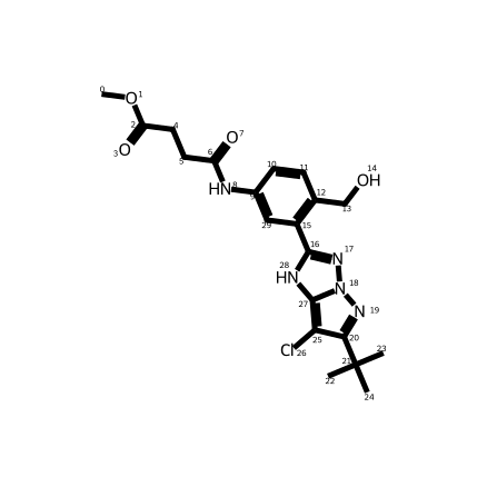 COC(=O)CCC(=O)Nc1ccc(CO)c(-c2nn3nc(C(C)(C)C)c(Cl)c3[nH]2)c1